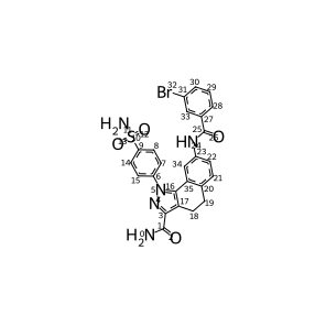 NC(=O)c1nn(-c2ccc(S(N)(=O)=O)cc2)c2c1CCc1ccc(NC(=O)c3cccc(Br)c3)cc1-2